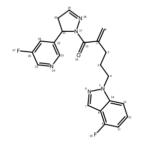 C=C(CCCn1ncc2c(F)cccc21)C(=O)N1N=CCC1c1cncc(F)c1